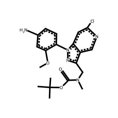 COc1cc(N)ccc1-n1nc(CN(C)C(=O)OC(C)(C)C)c2cnc(Cl)cc21